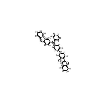 c1ccc(N(c2ccc(-c3ccc4c(c3)oc3c5ccccc5oc43)cc2)c2ccc3sc4ccccc4c3c2)cc1